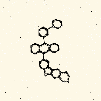 c1ccc(-c2cccc(-c3c4ccccc4c(-c4ccc5oc6cc7cnccc7cc6c5c4)c4ccccc34)c2)cc1